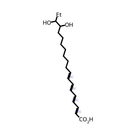 CCC(O)C(O)CCCCCCC/C=C/C=C/C=C/C=C/C(=O)O